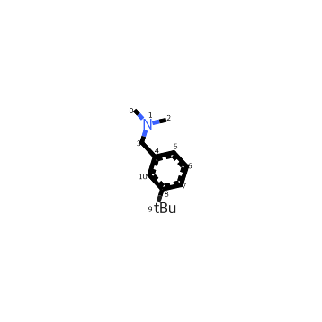 CN(C)Cc1cccc(C(C)(C)C)c1